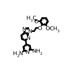 COc1cccc(OC)c1OCCn1cnc2ccc(-c3cc(N)nc(N)c3)nc21